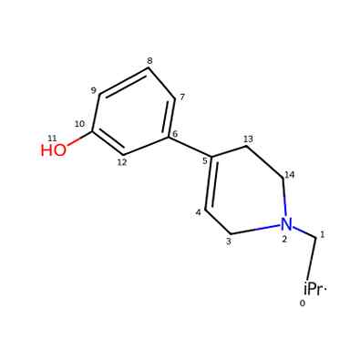 C[C](C)CN1CC=C(c2cccc(O)c2)CC1